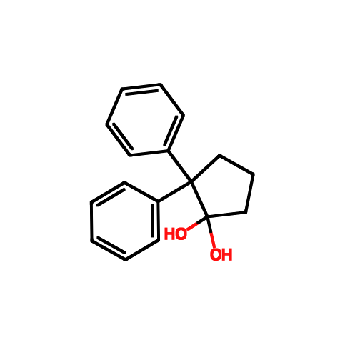 OC1(O)CCCC1(c1ccccc1)c1ccccc1